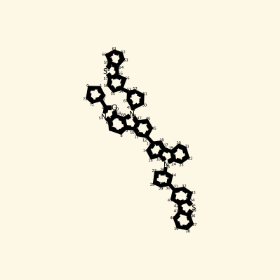 c1ccc(-c2nc3ccc4c5cc(-c6ccc7c(c6)c6ccccc6n7-c6cccc(-c7ccc8sc9ccccc9c8c7)c6)ccc5n(-c5cccc(-c6ccc7sc8ccccc8c7c6)c5)c4c3o2)cc1